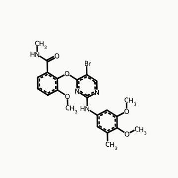 CNC(=O)c1cccc(OC)c1Oc1nc(Nc2cc(C)c(OC)c(OC)c2)ncc1Br